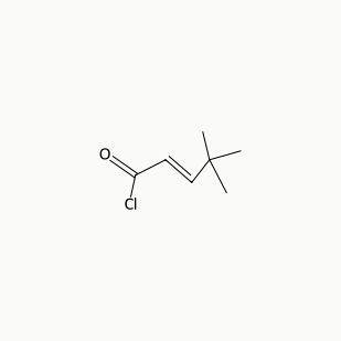 CC(C)(C)/C=C/C(=O)Cl